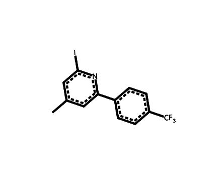 Cc1cc(I)nc(-c2ccc(C(F)(F)F)cc2)c1